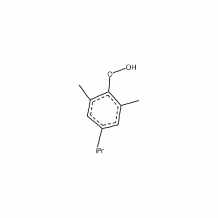 Cc1cc(C(C)C)cc(C)c1OO